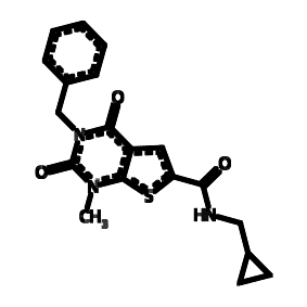 Cn1c(=O)n(Cc2ccccc2)c(=O)c2cc(C(=O)NCC3CC3)sc21